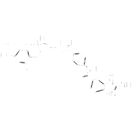 Cc1c(C)c2c(c(C)c1O)CCC(C)(CCCCSc1ccc(NC(=O)c3cccc(NC(=N)N)c3)cc1)O2.Cl